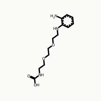 Nc1ccccc1NCCOCCOCCNC(=O)O